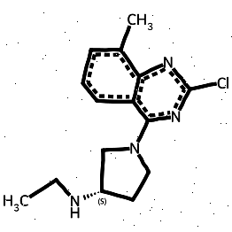 CCN[C@H]1CCN(c2nc(Cl)nc3c(C)cccc23)C1